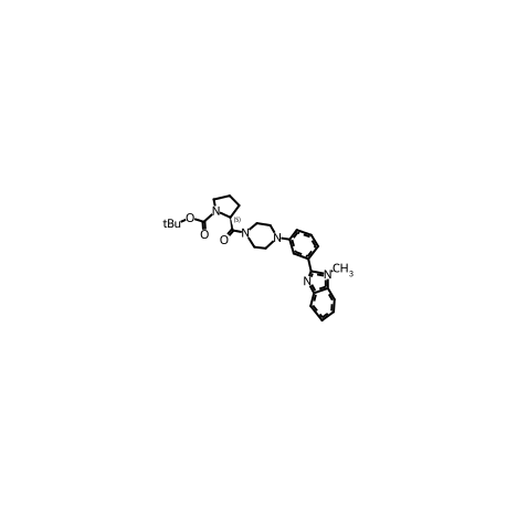 Cn1c(-c2cccc(N3CCN(C(=O)[C@@H]4CCCN4C(=O)OC(C)(C)C)CC3)c2)nc2ccccc21